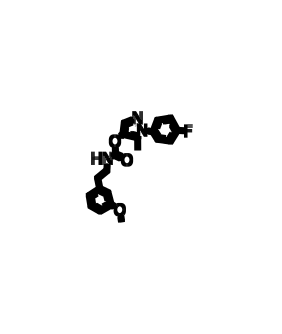 COc1cccc(CCNC(=O)Oc2cnn(-c3ccc(F)cc3)c2C)c1